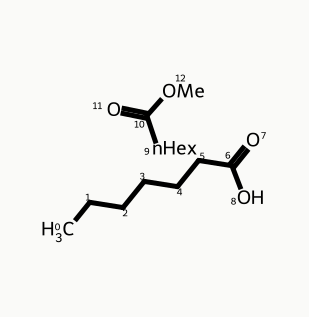 CCCCCCC(=O)O.CCCCCCC(=O)OC